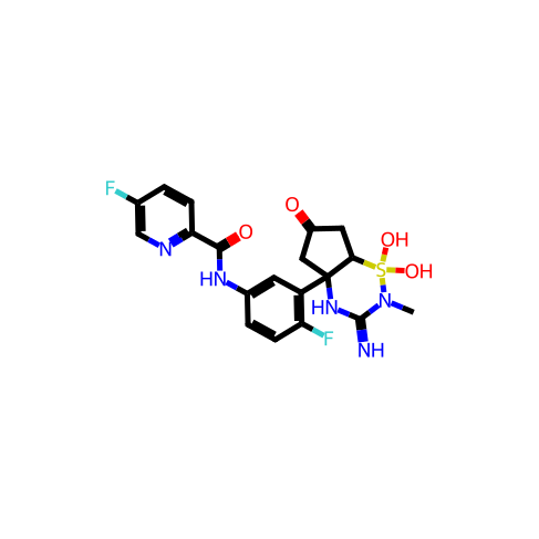 CN1C(=N)NC2(c3cc(NC(=O)c4ccc(F)cn4)ccc3F)CC(=O)CC2S1(O)O